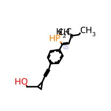 C=C(/C=C(\PC)c1ccc(C#CC2CC2CO)cc1)CC